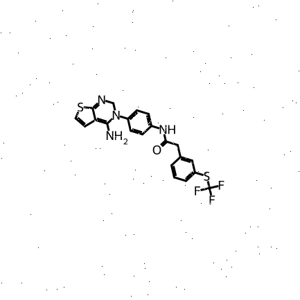 NC1=c2ccsc2=NCN1c1ccc(NC(=O)Cc2cccc(SC(F)(F)F)c2)cc1